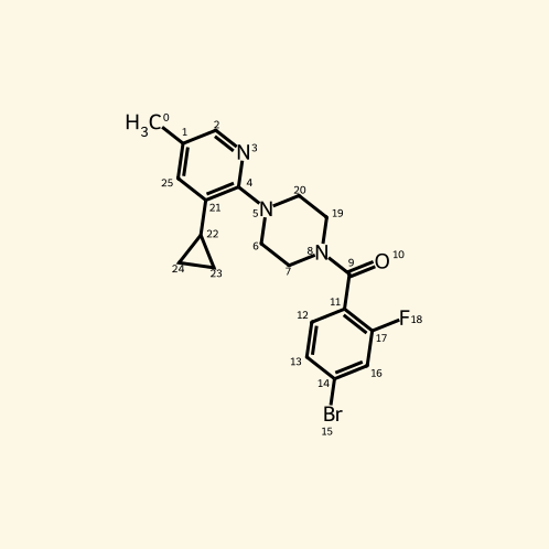 Cc1cnc(N2CCN(C(=O)c3ccc(Br)cc3F)CC2)c(C2CC2)c1